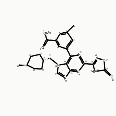 COC(=O)c1cc(C)cc(-c2nc(-c3noc(=O)[nH]3)nc3ncn(C[C@H]4CC[C@H](C)CC4)c23)c1